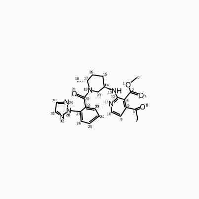 COC(=O)c1c(C(C)=O)ccnc1N[C@@H]1CC[C@@H](C)N(C(=O)c2ccccc2-n2nccn2)C1